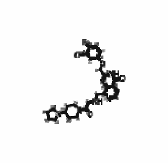 O=C(CNCc1nccc2c(=O)[nH]c(COc3ccc(F)c(Cl)c3)nc12)N1CCC(N2CCCC2)CC1